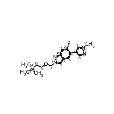 Cn1cc(-c2cc3cn(COCC[Si](C)(C)C)nc3cc2F)cn1